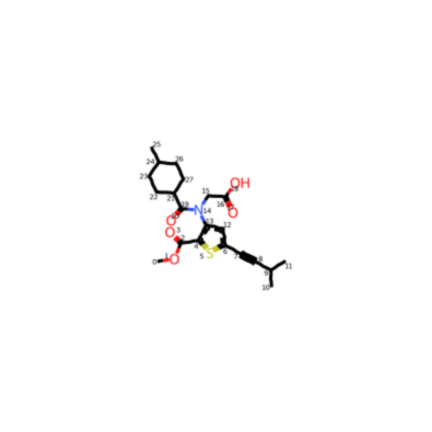 COC(=O)c1sc(C#CC(C)C)cc1N(CC(=O)O)C(=O)C1CCC(C)CC1